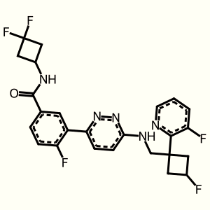 O=C(NC1CC(F)(F)C1)c1ccc(F)c(-c2ccc(NCC3(c4ncccc4F)CC(F)C3)nn2)c1